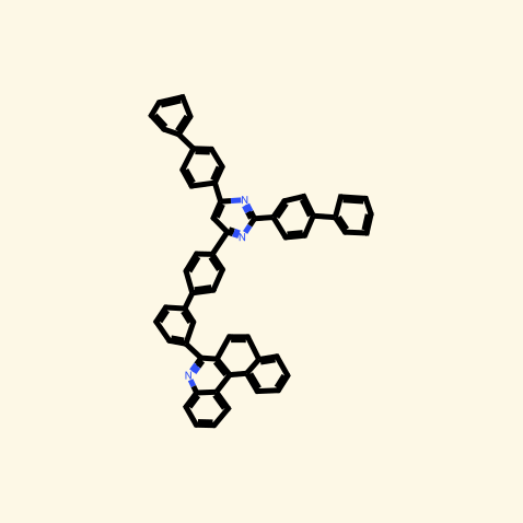 c1ccc(-c2ccc(-c3cc(-c4ccc(-c5cccc(-c6nc7ccccc7c7c6ccc6ccccc67)c5)cc4)nc(-c4ccc(-c5ccccc5)cc4)n3)cc2)cc1